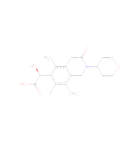 Cc1c(I)c([C@H](O)C(=O)O)c(C)c2c1CN(C1CCOCC1)C(=O)C2